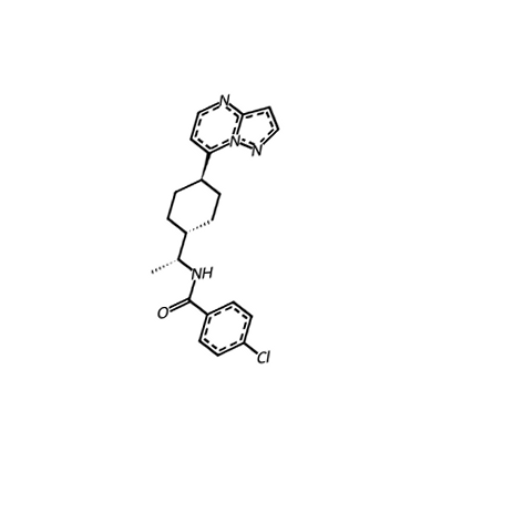 C[C@@H](NC(=O)c1ccc(Cl)cc1)[C@H]1CC[C@H](c2ccnc3ccnn32)CC1